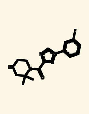 CC1(C)CNCCN1C(=O)c1ncn(-c2cccc(F)c2)n1